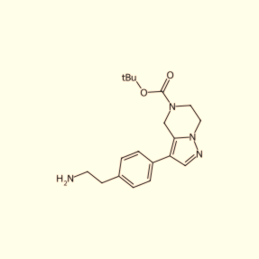 CC(C)(C)OC(=O)N1CCn2ncc(-c3ccc(CCN)cc3)c2C1